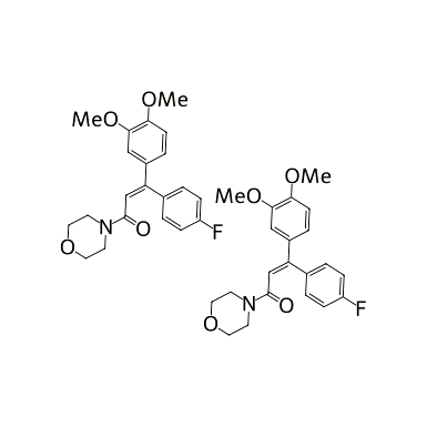 COc1ccc(C(=CC(=O)N2CCOCC2)c2ccc(F)cc2)cc1OC.COc1ccc(C(=CC(=O)N2CCOCC2)c2ccc(F)cc2)cc1OC